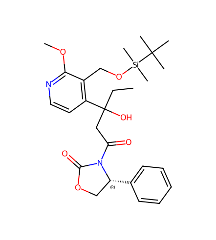 CCC(O)(CC(=O)N1C(=O)OC[C@H]1c1ccccc1)c1ccnc(OC)c1CO[Si](C)(C)C(C)(C)C